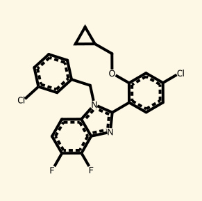 Fc1ccc2c(nc(-c3ccc(Cl)cc3OCC3CC3)n2Cc2cccc(Cl)c2)c1F